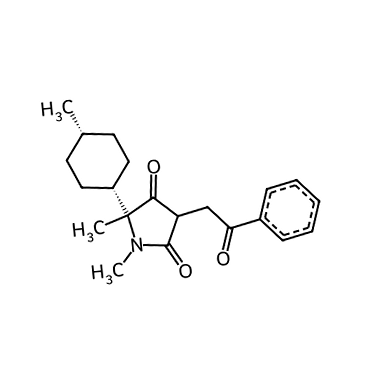 CN1C(=O)C(CC(=O)c2ccccc2)C(=O)C1(C)[C@H]1CC[C@@H](C)CC1